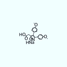 COc1ccc(-c2noc(CC(=O)O)c2-c2ccc(OC)cc2)cc1.[NaH]